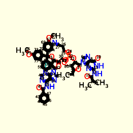 CCC1O[C@@H](n2cnc3c(=O)[nH]c(NC(=O)C(C)C)nc32)[C@@H](OP(OCCC#N)OC[C@H]2OC(n3cnc4c(NC(=O)c5ccccc5)ncnc43)[C@@H](F)[C@H]2OC(c2ccccc2)(c2ccc(OC)cc2)c2ccc(OC)cc2)[C@H]1CO